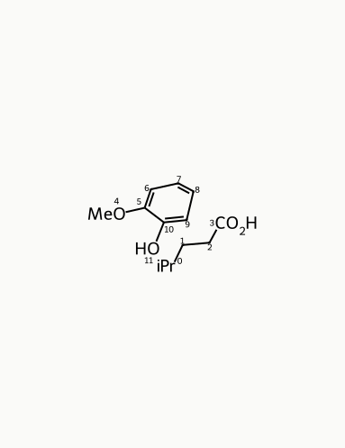 CC(C)CCC(=O)O.COc1ccccc1O